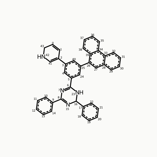 C1=CC(c2cc(C3=NC(c4ccccc4)=NC(c4ccccc4)N3)cc(-c3cc4ccccc4c4ccccc34)c2)=CNC1